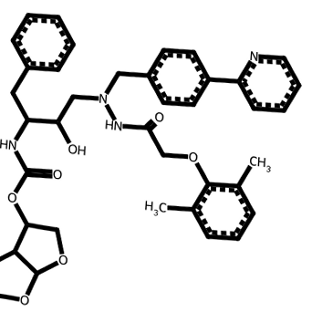 Cc1cccc(C)c1OCC(=O)NN(Cc1ccc(-c2ccccn2)cc1)CC(O)C(Cc1ccccc1)NC(=O)OC1COC2OCCC12